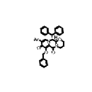 CC(=O)c1cn2c(c(OCc3ccccc3)c1=O)C(=O)N1CCCO[C@@H]1[C@@H]2C(c1ccccc1)c1ccccc1